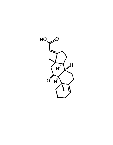 C[C@]12CCCC=C1CC[C@@H]1[C@@H]2C(=O)C[C@]2(C)C(=CC(=O)O)CC[C@@H]12